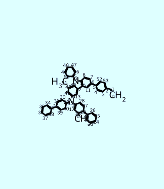 C=Cc1ccc(-c2ccc3c(c2)c2cc(N(C4=CC(C)C(c5ccccc5)C=C4)C4C=CC(c5ccccc5)=CC4)ccc2n3C2C=CC=CC2C)cc1